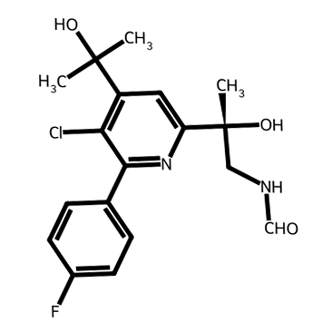 CC(C)(O)c1cc([C@](C)(O)CNC=O)nc(-c2ccc(F)cc2)c1Cl